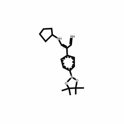 CC1(C)OB(c2ccc(/C(C=N)=C/NC3CCCC3)cc2)OC1(C)C